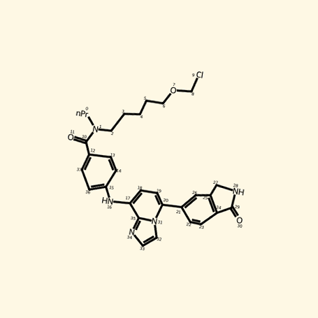 CCCN(CCCCCOCCl)C(=O)c1ccc(Nc2ccc(-c3ccc4c(c3)CNC4=O)n3ccnc23)cc1